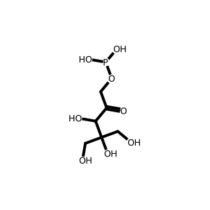 O=C(COP(O)O)C(O)C(O)(CO)CO